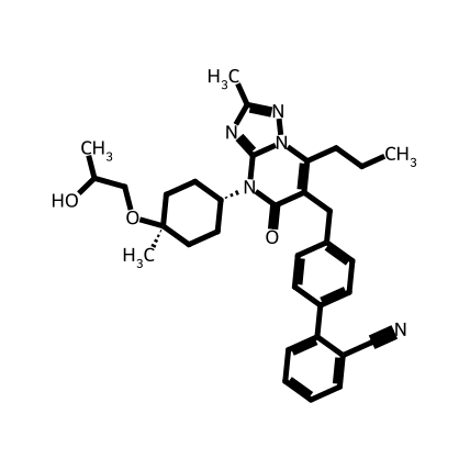 CCCc1c(Cc2ccc(-c3ccccc3C#N)cc2)c(=O)n([C@H]2CC[C@](C)(OCC(C)O)CC2)c2nc(C)nn12